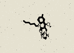 CCCCCCn1c(=O)c(Cn2ncnn2)c(OC)c2cc(C)ccc21